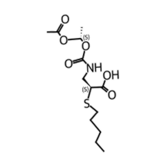 CCCCCS[C@@H](CNC(=O)O[C@@H](C)OC(C)=O)C(=O)O